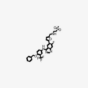 CS(=O)(=O)CCNCc1ccc(-c2cc3c(Nc4ccc(OCc5ccccc5)c(C(F)(F)F)c4)ncnc3cc2F)o1